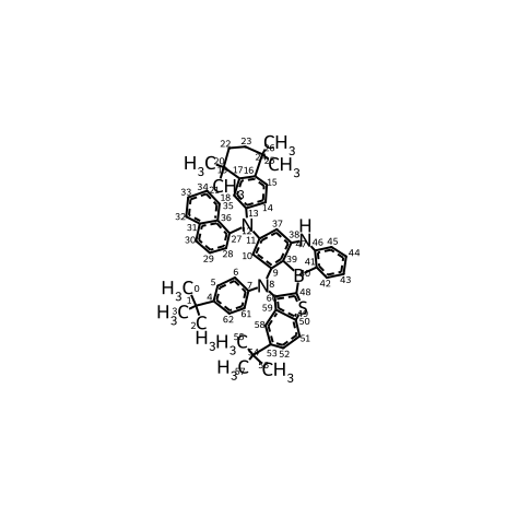 CC(C)(C)c1ccc(N2c3cc(N(c4ccc5c(c4)C(C)(C)CCC5(C)C)c4cccc5ccccc45)cc4c3B(c3ccccc3N4)c3sc4ccc(C(C)(C)C)cc4c32)cc1